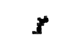 COC(=O)c1ccc(CCNC(=O)c2sc(Cl)cc2Cc2cccc(Cl)c2)cc1